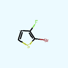 Fc1[c]csc1Br